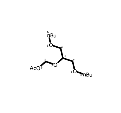 CCCCOCC(COCCCC)OCOC(C)=O